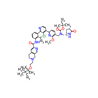 COc1nc(-c2ccnc(-c3cccc(NC(=O)c4cc5c(cn4)CN(CCO[Si](C)(C)C(C)(C)C)CC5)c3C)c2Cl)ccc1CN(C[C@@H]1CCC(=O)N1)C(=O)OC(C)(C)C